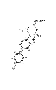 [2H][C@@H]1C[C@@H](CCCCC)CC([2H])([2H])C1c1ccc(-c2ccc(CC)cc2)cc1